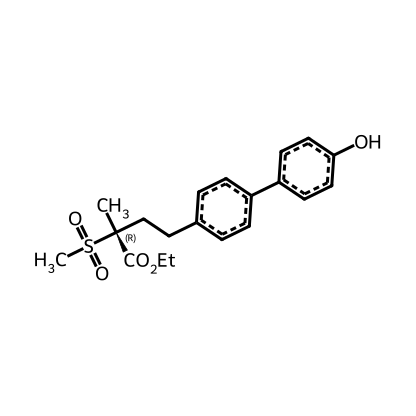 CCOC(=O)[C@@](C)(CCc1ccc(-c2ccc(O)cc2)cc1)S(C)(=O)=O